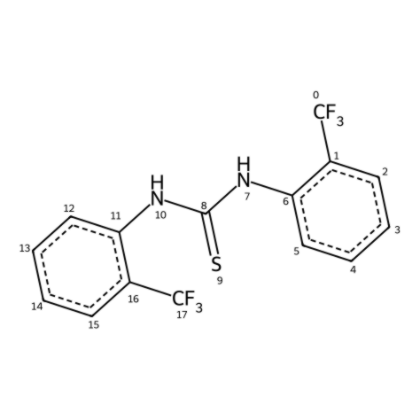 FC(F)(F)c1ccccc1NC(=S)Nc1ccccc1C(F)(F)F